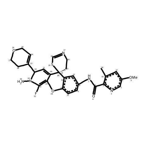 COc1cnc(C(=O)Nc2ccc3c(c2)[C@@]2(CCN=CS2)C2=CC(C4=CCOCC4)N(N)C(F)=C2O3)c(C)c1